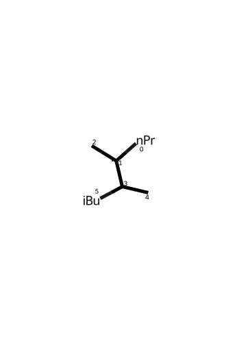 CCC[C](C)C(C)C(C)CC